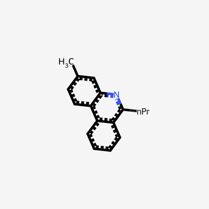 CCCc1nc2cc(C)ccc2c2ccccc12